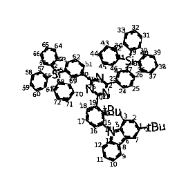 CC(C)(C)c1cc(C(C)(C)C)c2c(c1)c1ccccc1n2-c1cccc(-c2nc(-c3cccc([Si](c4ccccc4)(c4ccccc4)c4ccccc4)c3)nc(-c3cccc([Si](c4ccccc4)(c4ccccc4)c4ccccc4)c3)n2)c1